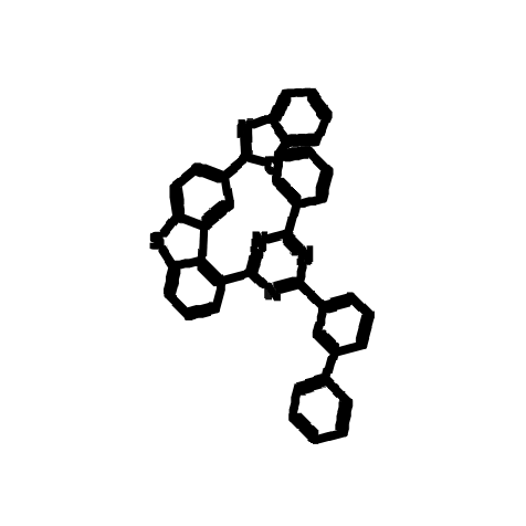 c1ccc(-c2cccc(-c3nc(-c4ccccc4)nc(-c4cccc5sc6ccc(-c7nc8ccccc8o7)cc6c45)n3)c2)cc1